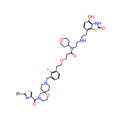 CC(C)c1nc(C(=O)N2CCOC3(CCN(Cc4cccc(CCOCCC(=O)N(CCNCCc5ccc(O)c6[nH]c(=O)sc56)C5CCOCC5)c4F)CC3)C2)cs1